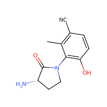 Cc1c(C#N)ccc(O)c1N1CC[C@H](N)C1=O